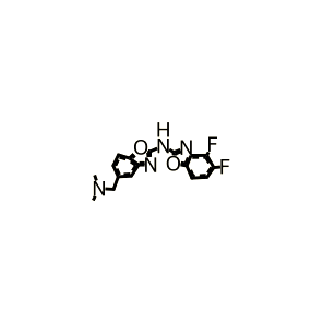 CN(C)Cc1ccc2oc(Nc3nc4c(F)c(F)ccc4o3)nc2c1